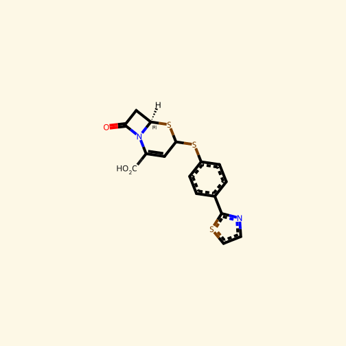 O=C(O)C1=CC(Sc2ccc(-c3nccs3)cc2)S[C@@H]2CC(=O)N12